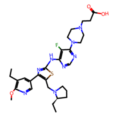 CCc1cc(-c2nc(Nc3ncnc(N4CCN(CCC(=O)O)CC4)c3F)sc2CN2CCC[C@H]2CC)cnc1OC